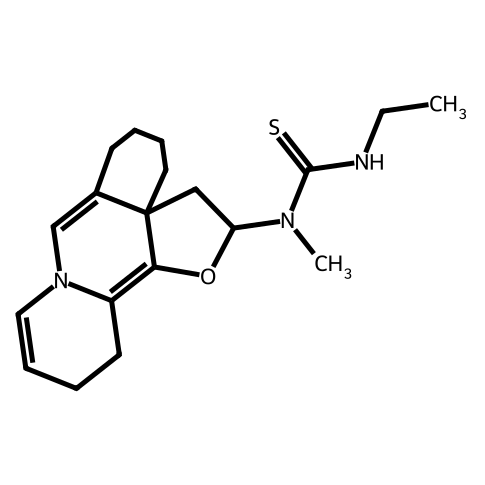 CCNC(=S)N(C)C1CC23CCCCC2=CN2C=CCCC2=C3O1